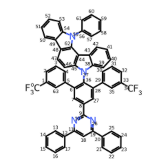 FC(F)(F)c1cccc(-c2cc(-c3nc(-c4ccccc4)cc(-c4ccccc4)n3)cc(-c3cccc(C(F)(F)F)c3)c2-n2c3ccccc3c3c2ccc2c4ccccc4n(-c4ccccc4)c23)c1